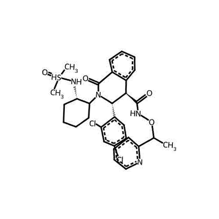 CC(ONC(=O)[C@@H]1c2ccccc2C(=O)N(C2CCCC[C@@H]2N[SH](C)(C)=O)[C@H]1c1ccc(Cl)cc1Cl)c1ccccn1